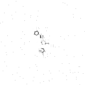 N#Cc1nnc(SC2OC(CO)C(O)C(n3cc(-c4cc(F)c(F)c(F)c4)nn3)C2O)cc1Cl